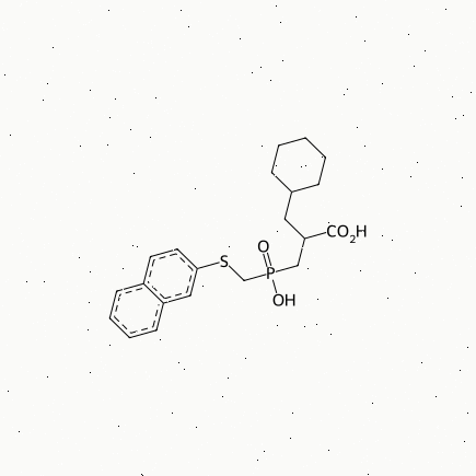 O=C(O)C(CC1CCCCC1)CP(=O)(O)CSc1ccc2ccccc2c1